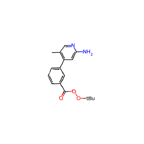 Cc1cnc(N)cc1-c1cccc(C(=O)OOC(C)(C)C)c1